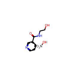 O=C(NCCO)c1cccnc1.O=[N+]([O-])O